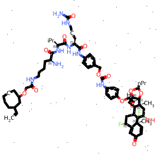 C=CC1CCCCCC(OCC(=O)NCCCC[C@H](N)C(=O)N[C@H](C(=O)N[C@@H](CCCNC(N)=O)C(=O)Nc2ccc(COC(=O)Nc3ccc(OCC(=O)[C@@]45OC(CCC)O[C@@H]4CC4C6C[C@H](F)C7=CC(=O)C=C[C@]7(C)[C@@]6(F)[C@@H](O)C[C@@]45C)cc3)cc2)C(C)C)C1